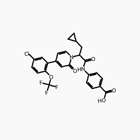 O=C(O)c1ccc(NC(=O)C(CC2CC2)n2ccc(-c3cc(Cl)ccc3OC(F)(F)F)cc2=O)cc1